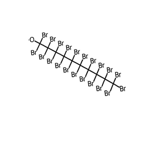 [O]C(Br)(Br)C(Br)(Br)C(Br)(Br)C(Br)(Br)C(Br)(Br)C(Br)(Br)C(Br)(Br)C(Br)(Br)C(Br)(Br)C(Br)(Br)Br